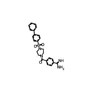 N=C(N)c1ccc(C(=O)N2CCN(S(=O)(=O)c3ccc(-c4ccccc4)cc3)CC2)cc1